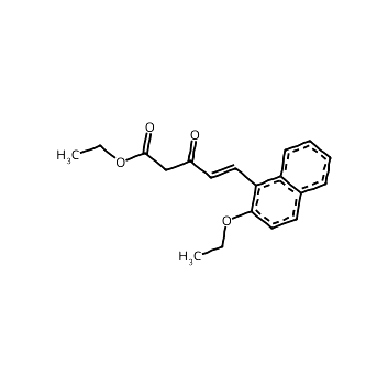 CCOC(=O)CC(=O)C=Cc1c(OCC)ccc2ccccc12